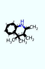 C=C1Nc2ccccc2C(C)(C)C1=C